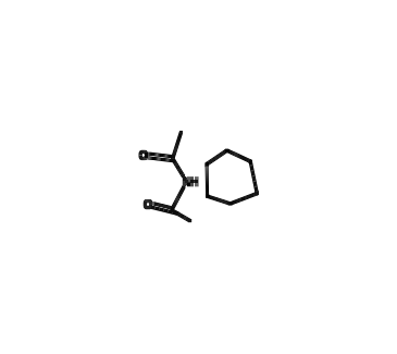 C1CCCCC1.CC(=O)NC(C)=O